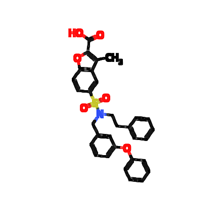 Cc1c(C(=O)O)oc2ccc(S(=O)(=O)N(CCc3ccccc3)Cc3cccc(Oc4ccccc4)c3)cc12